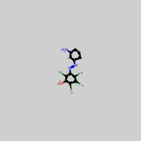 Nc1cccc(N=Nc2c(F)c(O)c(F)c(F)c2F)c1